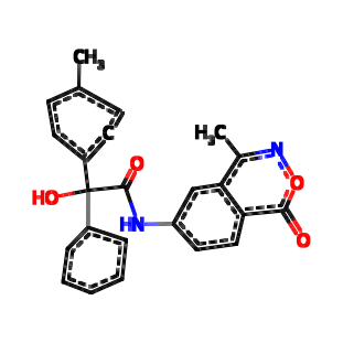 Cc1ccc(C(O)(C(=O)Nc2ccc3c(=O)onc(C)c3c2)c2ccccc2)cc1